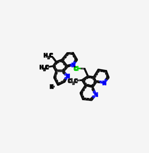 Cc1c(C)c2cccnc2c2ncccc12.ClCc1c(C(Cl)(Cl)Cl)c2cccnc2c2ncccc12.[K]